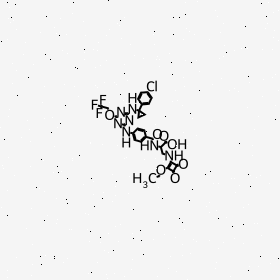 CCOc1c(NCC(NC(=O)c2ccc(Nc3nc(NC4(c5ccc(Cl)cc5)CC4)nc(OCC(F)(F)F)n3)cc2)C(=O)O)c(=O)c1=O